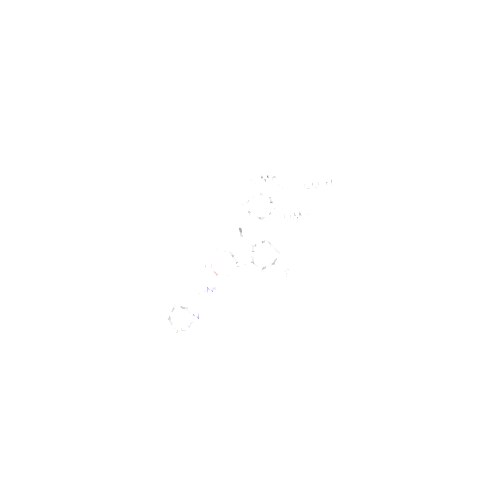 COc1cc(/C=C2/C(C)=C(CC(=O)NCc3ccccn3)c3cc(F)ccc32)cc(OC)c1OCC(=O)O